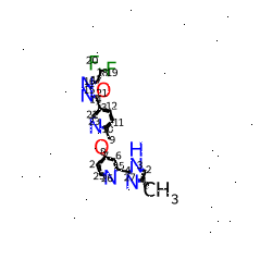 Cc1c[nH]c(-c2cc(OCc3ccc(-c4nnc(C(F)F)o4)cn3)ccn2)n1